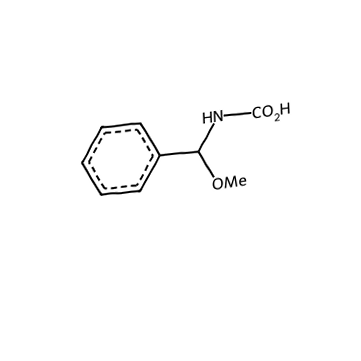 COC(NC(=O)O)c1ccccc1